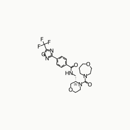 O=C(NC[C@H]1COCCN1C(=O)N1CCCOCC1)c1ccc(-c2noc(C(F)(F)F)n2)cc1